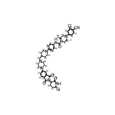 C[C@@H]1CN(C(=O)Nc2cnc(N3CCC(CN4CCN(c5ccc6c(c5)C(=O)N(C5CCC(=O)NC5=O)C6=O)CC4)CC3)nc2)[C@@H](C)CN1c1ccc(C#N)c(Cl)c1